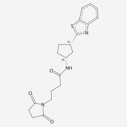 O=C(CCCN1C(=O)CCC1=O)N[C@@H]1CC[C@H](c2nc3ccccc3s2)C1